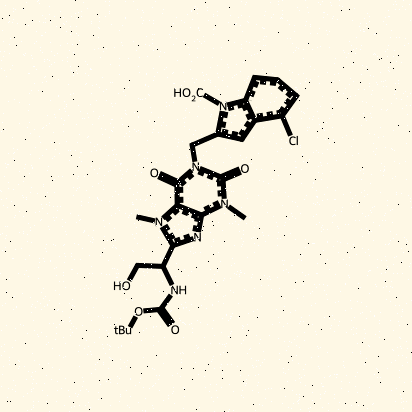 Cn1c(C(CO)NC(=O)OC(C)(C)C)nc2c1c(=O)n(Cc1cc3c(Cl)cccc3n1C(=O)O)c(=O)n2C